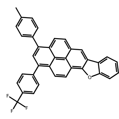 Cc1ccc(-c2cc(-c3ccc(C(F)(F)F)cc3)c3ccc4c5oc6ccccc6c5cc5ccc2c3c54)cc1